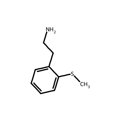 CSc1ccccc1CCN